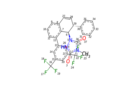 Cn1c(=O)[nH]n([C@H]2c3c(cccc3-c3cc(C(F)(F)F)cc(C(F)(F)F)c3)C=C[C@@H]2c2ccccc2)c1=O